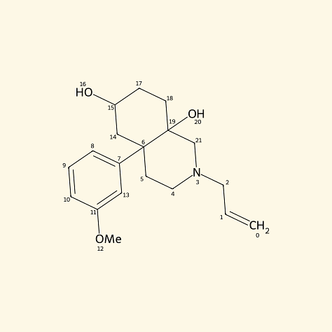 C=CCN1CCC2(c3cccc(OC)c3)CC(O)CCC2(O)C1